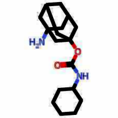 NC12CC3CC(C1)CC(OC(=O)NC1CCCCC1)(C3)C2